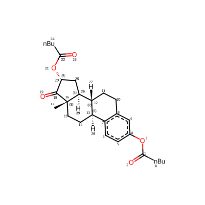 CCCCC(=O)Oc1ccc2c(c1)CC[C@@H]1[C@@H]2CC[C@]2(C)C(=O)[C@H](OC(=O)CCCC)C[C@@H]12